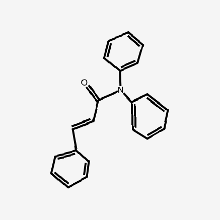 O=C(C=Cc1ccccc1)N(c1ccccc1)c1ccccc1